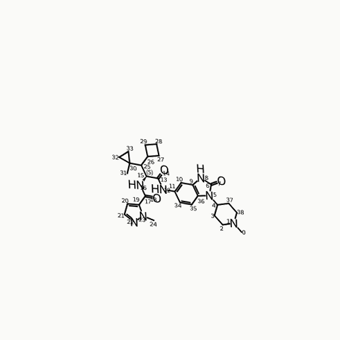 CN1CCC(n2c(=O)[nH]c3cc(NC(=O)[C@@H](NC(=O)c4ccnn4C)C(C4CCC4)C4(C)CC4)ccc32)CC1